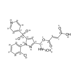 CNC(OC(=O)/C=C/C(=O)O)c1cc(S(=O)(=O)c2ccncc2)n(-c2ccccc2Cl)n1